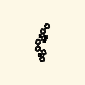 c1ccc(-c2ccc3sc4c(-c5cccc(-c6cccc(-c7cccc8c7oc7ccccc78)c6)c5)ncnc4c3c2)cc1